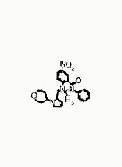 CN(C(=O)c1cc([N+](=O)[O-])ccc1/N=C/C1CCCN1C1CCOCC1)c1ccccc1